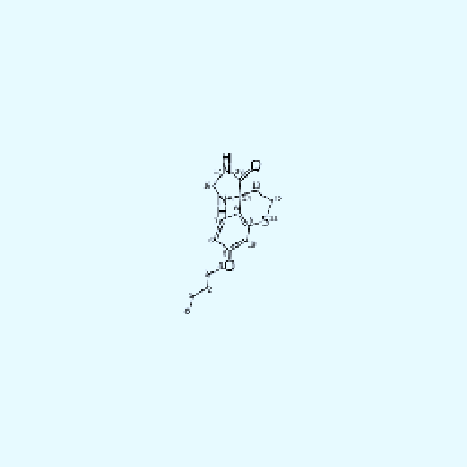 CCCCOc1ccc2c(c1)SCCC21NCNC1=O